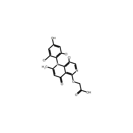 Cc1cc(=O)c2c(OCC(=O)O)ncc(Cl)c2n1-c1c(Cl)cc(O)cc1Cl